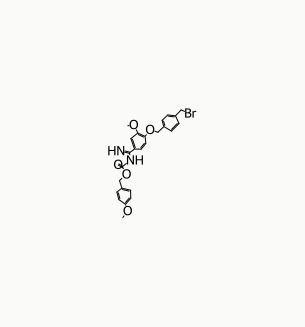 COc1ccc(COC(=O)NC(=N)c2ccc(OCc3ccc(CBr)cc3)c(OC)c2)cc1